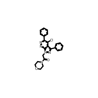 O=C(Cn1nc(-c2ccccc2)c2c(Cl)c(-c3ccccc3)nnc21)N1CCOCC1